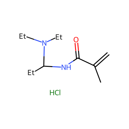 C=C(C)C(=O)NC(CC)N(CC)CC.Cl